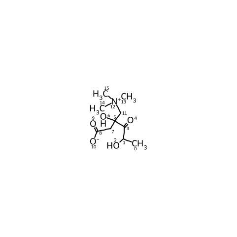 CC(O)C(=O)C(O)(CC(=O)[O-])C[N+](C)(C)C